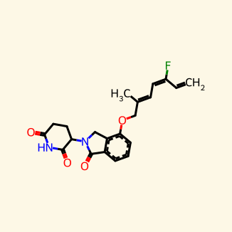 C=C/C(F)=C\C=C(/C)COc1cccc2c1CN(C1CCC(=O)NC1=O)C2=O